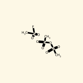 CS(=O)(=O)F.CS(=O)(=O)OS(C)(=O)=O